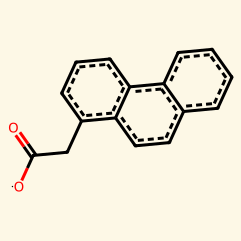 [O]C(=O)Cc1cccc2c1ccc1ccccc12